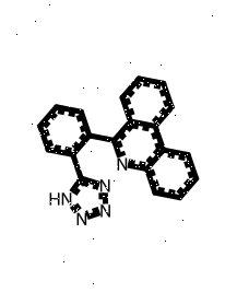 c1ccc(-c2nc3ccccc3c3ccccc23)c(-c2nnn[nH]2)c1